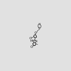 Cc1cc(Cl)cc2[nH]c(-c3ccc(OCCCN4CCN(C)CC4)cc3Cl)nc12